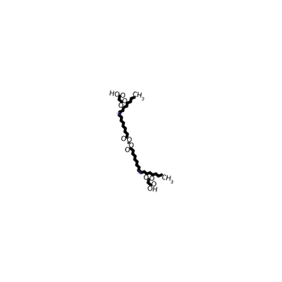 CCCCCCC(C/C=C\CCCCCCCC(=O)OCOC(=O)CCCCCCC/C=C\CC(CCCCCC)OC(=O)CC(=O)O)OC(=O)CC(=O)O